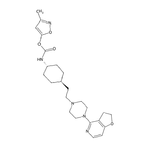 Cc1cc(OC(=O)N[C@H]2CC[C@H](CCN3CCN(c4nccc5c4CCO5)CC3)CC2)on1